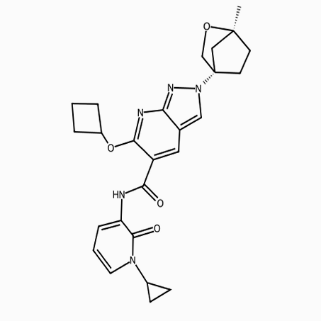 C[C@@]12CC[C@@](n3cc4cc(C(=O)Nc5cccn(C6CC6)c5=O)c(OC5CCC5)nc4n3)(CO1)C2